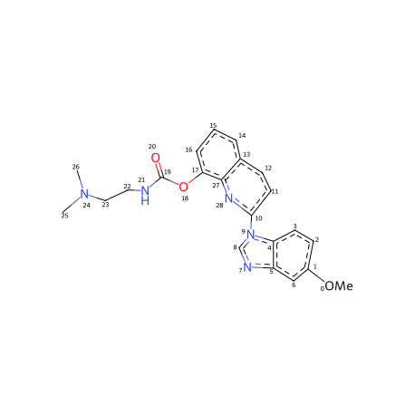 COc1ccc2c(c1)ncn2-c1ccc2cccc(OC(=O)NCCN(C)C)c2n1